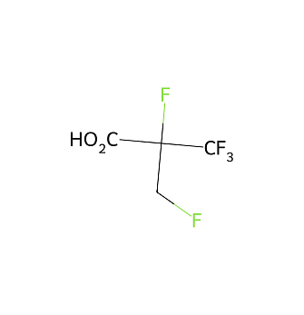 O=C(O)C(F)(CF)C(F)(F)F